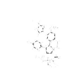 COc1cc2c(cc1-c1cnn(C)n1)-c1c(-c3ccc(F)cn3)cc(C(=O)N(C)[C@](C)(C#N)CC(F)(F)F)n1CC2